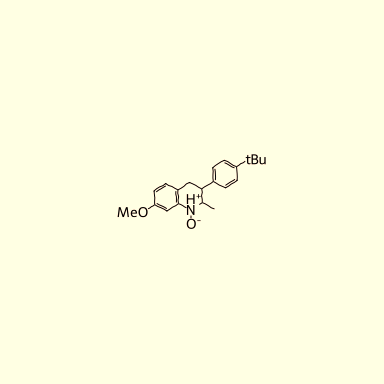 COc1ccc2c(c1)[NH+]([O-])C(C)C(c1ccc(C(C)(C)C)cc1)C2